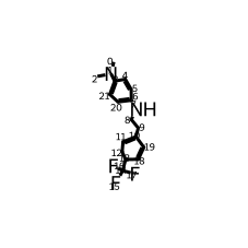 CN(C)c1ccc(NCCC2=CCC(C(F)(F)F)C=C2)cc1